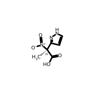 C[C@@](C(=O)O)(c1cc[nH]n1)[N+](=O)[O-]